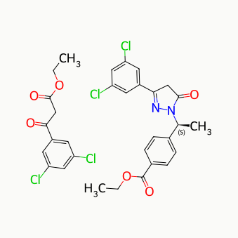 CCOC(=O)CC(=O)c1cc(Cl)cc(Cl)c1.CCOC(=O)c1ccc([C@H](C)N2N=C(c3cc(Cl)cc(Cl)c3)CC2=O)cc1